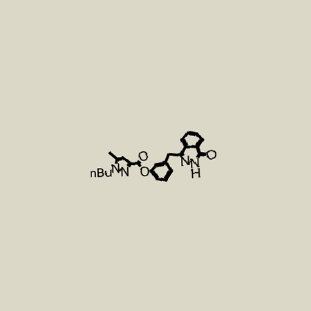 CCCCn1nc(C(=O)Oc2cccc(Cc3n[nH]c(=O)c4ccccc34)c2)cc1C